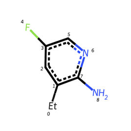 CCc1cc(F)cnc1N